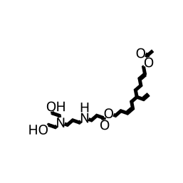 C=CC(C/C=C\CCOC(=O)CCNCCCN(CCO)CCO)CC/C=C/COC(C)=O